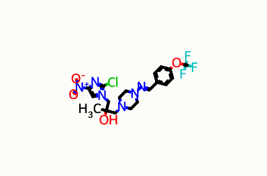 CC(O)(CN1CCN(N=Cc2ccc(OC(F)(F)F)cc2)CC1)Cn1cc([N+](=O)[O-])nc1Cl